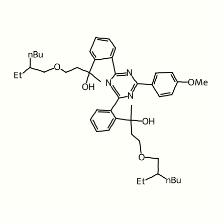 CCCCC(CC)COCCC(C)(O)c1ccccc1-c1nc(-c2ccc(OC)cc2)nc(-c2ccccc2C(C)(O)CCOCC(CC)CCCC)n1